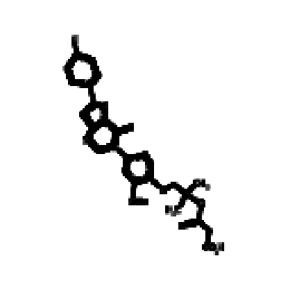 COc1cc(-n2cnc3cc(-c4ccc(Cl)cc4)sc3c2=O)ccc1OCC(C)(C)OC(=O)CC(=O)O